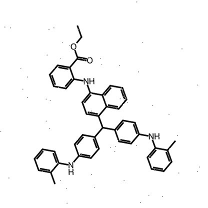 CCOC(=O)c1ccccc1Nc1ccc(C(c2ccc(Nc3ccccc3C)cc2)c2ccc(Nc3ccccc3C)cc2)c2ccccc12